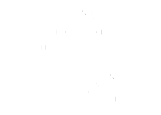 Cc1sc(S(C)(=N)=O)cc1C(C)(C)N